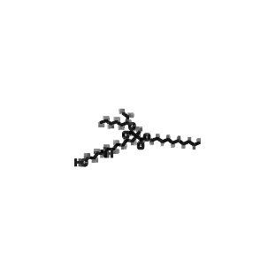 CCCCCCCCCCOC(=O)C(C)(CCCCCCNCCCO)C(=O)OC(CC)CCCCC